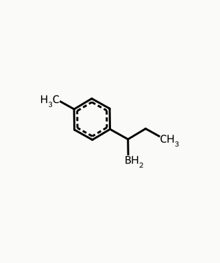 BC(CC)c1ccc(C)cc1